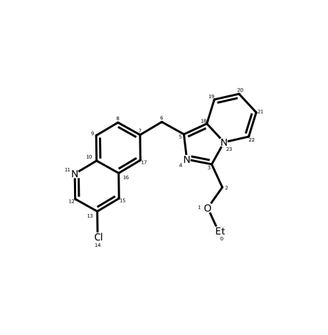 CCOCc1nc(Cc2ccc3ncc(Cl)cc3c2)c2ccccn12